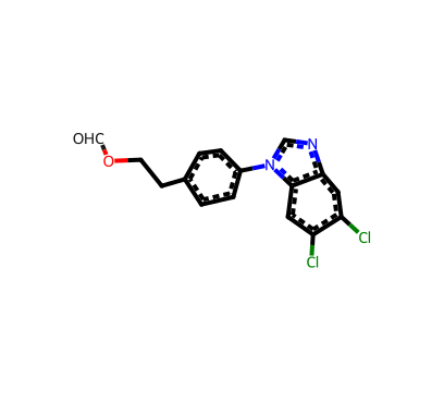 O=COCCc1ccc(-n2cnc3cc(Cl)c(Cl)cc32)cc1